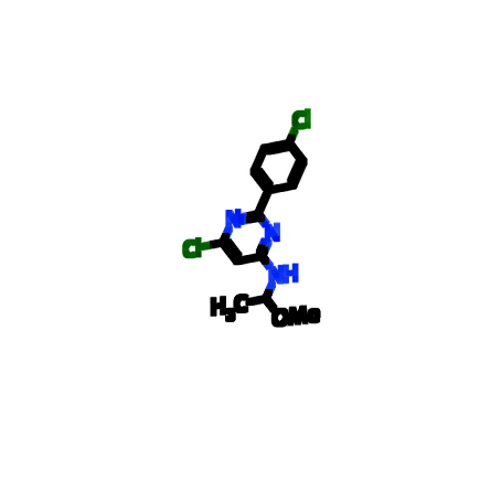 COC(C)Nc1cc(Cl)nc(-c2ccc(Cl)cc2)n1